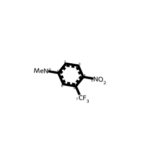 CNc1ccc([N+](=O)[O-])c(C(F)(F)F)c1